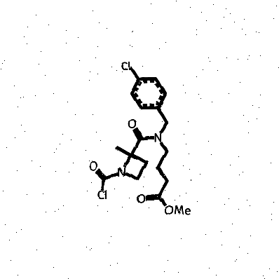 COC(=O)CCCN(Cc1ccc(Cl)cc1)C(=O)C1(C)CCN1C(=O)Cl